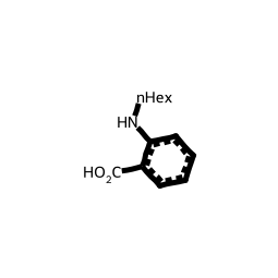 CCCCCCNc1ccccc1C(=O)O